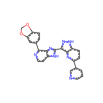 c1cncc(-c2ccc3[nH]nc(-c4nc5c(-c6ccc7c(c6)OCO7)nccc5[nH]4)c3n2)c1